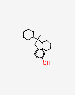 CC(Cc1ccc(O)cc1)(C1CCCCC1)C1CCCCC1